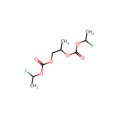 CC(F)OC(=O)OCC(C)OC(=O)OC(C)F